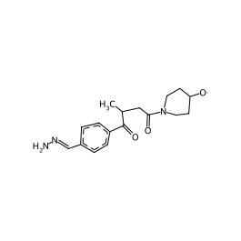 CC(CC(=O)N1CCC([O])CC1)C(=O)c1ccc(C=NN)cc1